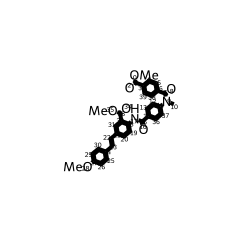 COC(=O)c1ccc(C(=O)N(C)c2ccc(C(=O)Nc3ccc(/C=C/c4ccc(OC)cc4)cc3C(=O)OC)cc2)cc1